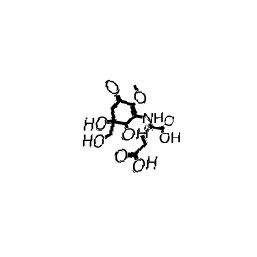 COC1=C(N[C@@H](CCC(=O)O)C(=O)O)C(O)C(O)(CO)CC1=O